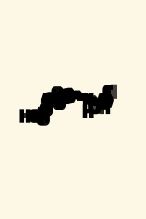 O=C(O)COc1cccc(S(=O)(=O)c2ccc(CCCNC[C@@H](O)c3cccc(Cl)c3)cc2)c1